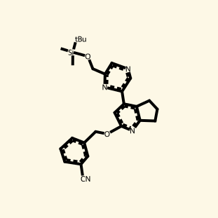 CC(C)(C)[Si](C)(C)OCc1cncc(-c2cc(OCc3cccc(C#N)c3)nc3c2CCC3)n1